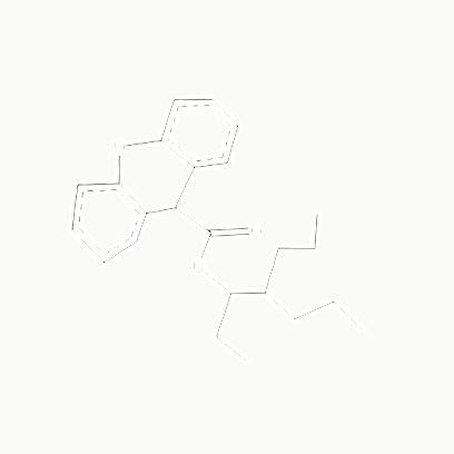 CCCC(CCC)C(CC)OC(=O)C1c2ccccc2Oc2ccccc21